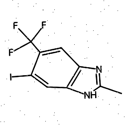 Cc1nc2cc(C(F)(F)F)c(I)cc2[nH]1